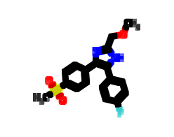 COCc1nc(-c2ccc(S(C)(=O)=O)cc2)c(-c2ccc(F)cc2)[nH]1